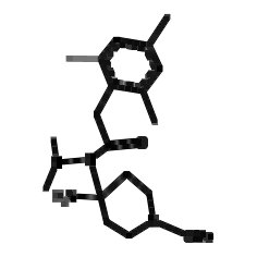 CON1CCC(N)(N(C(=O)Cc2c(C)cc(C)cc2C)N(C)C)CC1